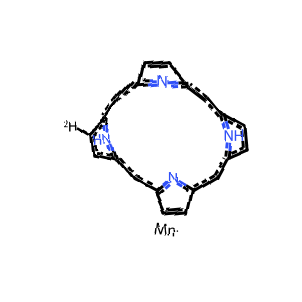 [2H]c1cc2cc3nc(cc4ccc(cc5nc(cc1[nH]2)C=C5)[nH]4)C=C3.[Mn]